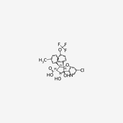 Cc1cccc([C@@H]2[C@@H](C(=O)O)[C@@H](O)[C@@]3(O)c4ncc(Cl)cc4O[C@@]23c2ccc(OC(F)(F)F)cc2)c1